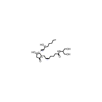 CCCCC[C@H](O)/C=C/[C@H]1[C@H](O)CC(=O)[C@@H]1C/C=C\CCCC(=O)NC(CO)CO